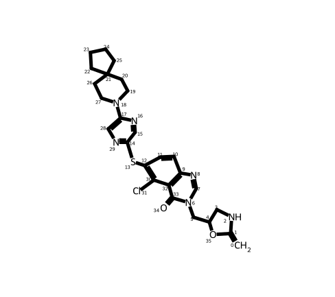 C=C1NCC(Cn2cnc3ccc(Sc4cnc(N5CCC6(CCCC6)CC5)cn4)c(Cl)c3c2=O)O1